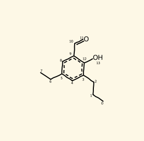 CCCc1cc(CC)cc(C=O)c1O